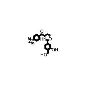 CS(=O)(=O)c1ccc([C@H](O)C(CF)NC(=O)c2ccc(CO)c(O)c2)cc1